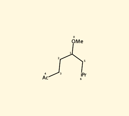 COC(CCC(C)=O)CC(C)C